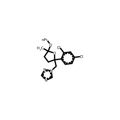 CCCOC1(C)CCC(Cn2cncn2)(c2ccc(Cl)cc2Cl)O1